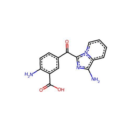 Nc1ccc(C(=O)c2nc(N)c3ccccn23)cc1C(=O)O